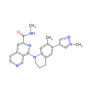 CNC(=O)c1cc2ccncc2c(N2CCCc3cc(-c4cnn(C)c4)c(C)cc32)n1